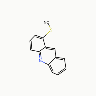 N#CSc1cccc2nc3ccccc3cc12